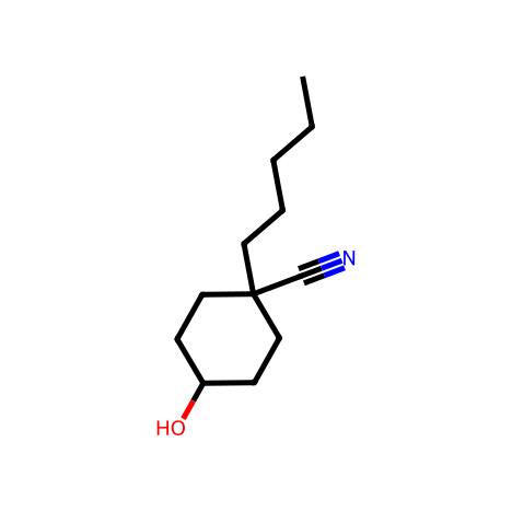 CCCCCC1(C#N)CCC(O)CC1